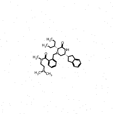 CCC(CC)[C@@H]1C(=O)N[C@H](C2Cc3ccccc3C2)CN1Cc1ccccc1C(=O)N(C)CCN(C)C